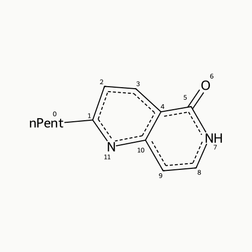 CCCCCc1ccc2c(=O)[nH]ccc2n1